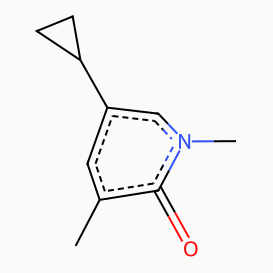 Cc1cc(C2CC2)cn(C)c1=O